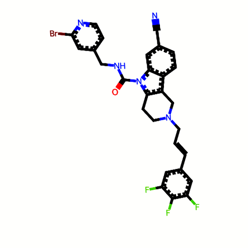 N#Cc1ccc2c3c(n(C(=O)NCc4ccnc(Br)c4)c2c1)CCN(C/C=C/c1cc(F)c(F)c(F)c1)C3